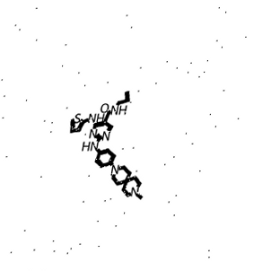 C=CCNC(=O)c1cnc(Nc2ccc(N3CCC4(CCN(C)CC4)CC3)cc2)nc1Nc1cccs1